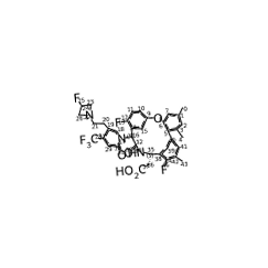 Cc1cc(C)c2c(c1)Oc1ccc(F)c(c1)[C@H](n1cc(CCN3CC(F)C3)c(C(F)(F)F)cc1=O)C(=O)N[C@@H](CC(=O)O)c1cc-2cc(C)c1F